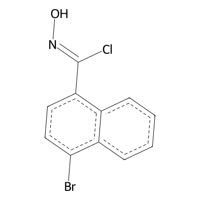 O/N=C(\Cl)c1ccc(Br)c2ccccc12